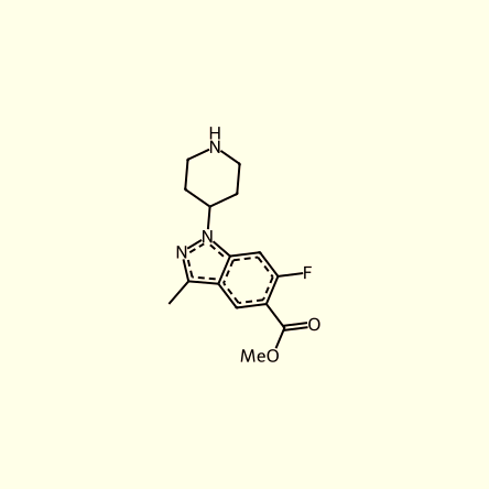 COC(=O)c1cc2c(C)nn(C3CCNCC3)c2cc1F